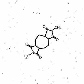 CN1C(=O)C2CCC3C(=O)N(C)C(=O)C3CCC2C1=O